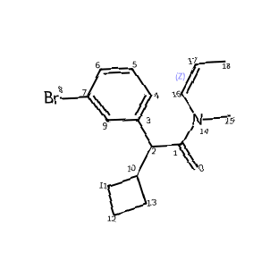 C=C(C(c1cccc(Br)c1)C1CCC1)N(C)/C=C\C